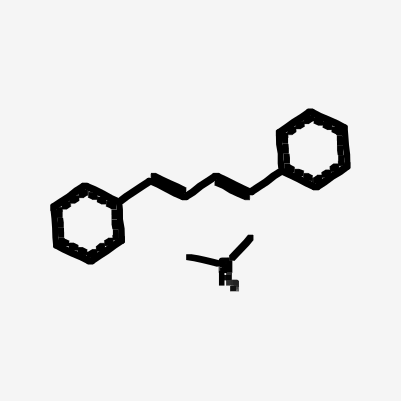 C(C=Cc1ccccc1)=Cc1ccccc1.C[SiH2]C